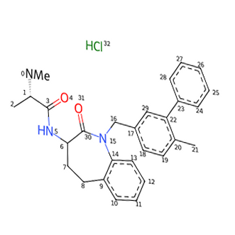 CN[C@@H](C)C(=O)NC1CCc2ccccc2N(Cc2ccc(C)c(-c3ccccc3)c2)C1=O.Cl